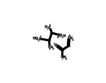 C=CC(N)=O.CC(C(C)S(=O)(=O)O)S(=O)(=O)O